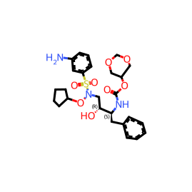 Nc1cccc(S(=O)(=O)N(C[C@@H](O)[C@H](Cc2ccccc2)NC(=O)OC2COCOC2)OC2CCCC2)c1